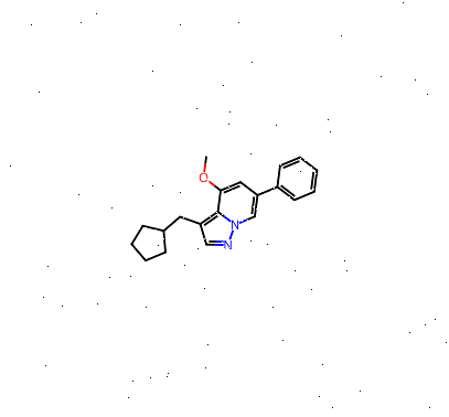 COc1cc(-c2ccccc2)cn2ncc(CC3CCCC3)c12